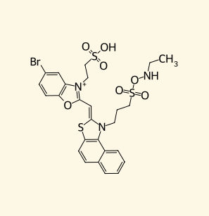 CCNOS(=O)(=O)CCCN1C(=Cc2oc3ccc(Br)cc3[n+]2CCS(=O)(=O)O)Sc2ccc3ccccc3c21